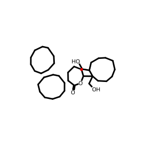 C1CCCCCCCCC1.C1CCCCCCCCC1.O=C1CCCCC(C2(CO)CCCCCCCCC2CO)O1